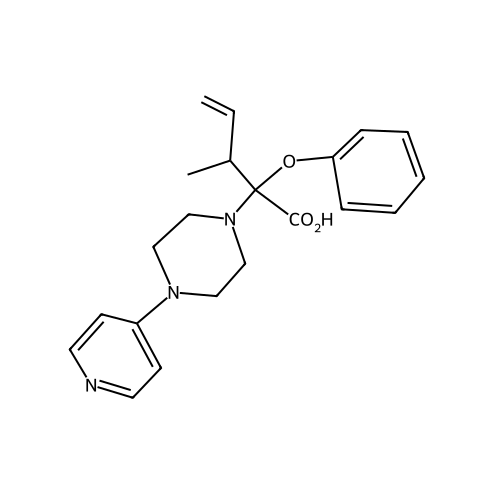 C=CC(C)C(Oc1ccccc1)(C(=O)O)N1CCN(c2ccncc2)CC1